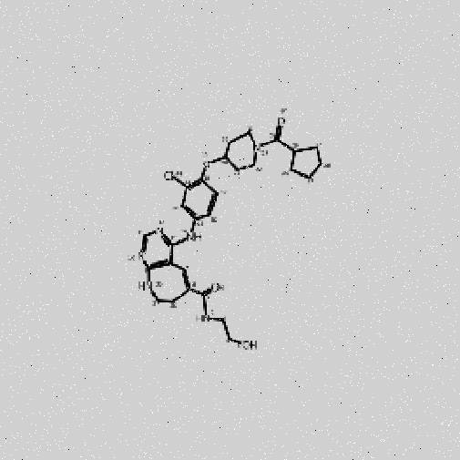 O=C(NCCO)C1=Cc2c(ncnc2Nc2ccc(OC3CCN(C(=O)C4CCCC4)CC3)c(Cl)c2)NCC1